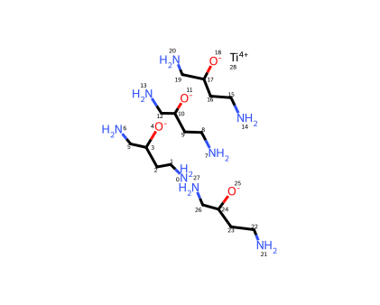 NCCC([O-])CN.NCCC([O-])CN.NCCC([O-])CN.NCCC([O-])CN.[Ti+4]